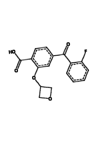 O=C(c1ccc(C(=O)O)c(OC2COC2)c1)c1ccccc1F